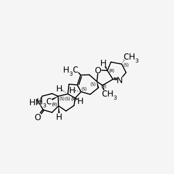 CC1=C2C[C@H]3[C@@H](CC[C@@H]4CC(=O)NCC[C@@]43C)[C@@H]2CC[C@@]2(C1)O[C@@H]1C[C@H](C)CN=C1[C@H]2C